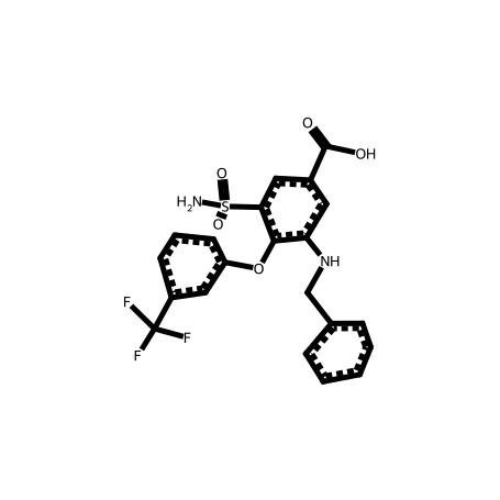 NS(=O)(=O)c1cc(C(=O)O)cc(NCc2ccccc2)c1Oc1cccc(C(F)(F)F)c1